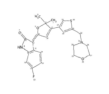 CC1(C)OC(=C2C(=O)Nc3cc(F)ccc32)C=C1c1csc(CN2CCOCC2)c1